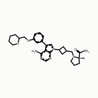 C[C@@]1(C(N)=O)CCCN1CC1CC(n2cc(-c3cccc(OCC4CCCCO4)c3)c3c(N)ncnc32)C1